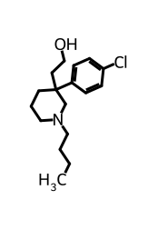 CCCCN1CCCC(CCO)(c2ccc(Cl)cc2)C1